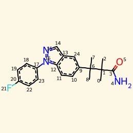 CC(C)(C(N)=O)C(C)(C)c1ccc2c(cnn2-c2ccc(F)cc2)c1